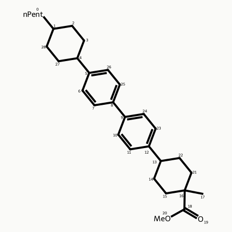 CCCCCC1CCC(c2ccc(-c3ccc(C4CCC(C)(C(=O)OC)CC4)cc3)cc2)CC1